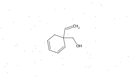 C=CC1(CO)C=CC=CC1